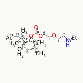 CCNCCOCCOC(=O)Oc1c(C)c(C)cc(C)c1C(C)(C)CC(C)=O